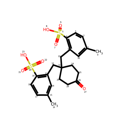 Cc1ccc(S(=O)(=O)O)c(CC2(Cc3cc(C)ccc3S(=O)(=O)O)CCC(=O)CC2)c1